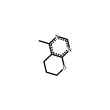 Cc1ncnc2c1CCCO2